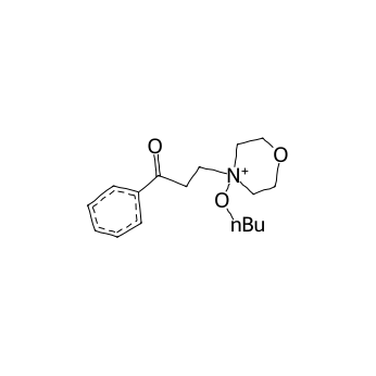 CCCCO[N+]1(CCC(=O)c2ccccc2)CCOCC1